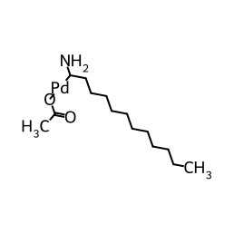 CCCCCCCCCCC[CH](N)[Pd][O]C(C)=O